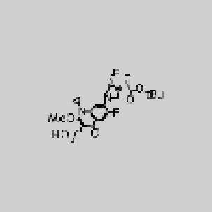 COc1c(C(=O)O)c(=O)c2cc(F)c(N3C[C@H](CF)[C@H](NC(=O)OC(C)(C)C)C3)cc2n1C1CC1